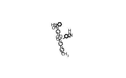 CN1CCN(C2CCN(C(=O)[C@@H](Cc3ccc4[nH]ncc4c3)OC(=O)N3CCC(n4c(=O)[nH]c5ccccc54)CC3)CC2)CC1